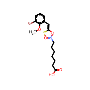 COc1c(Br)cccc1C=C1ON(CCCCCCC(=O)O)OS1